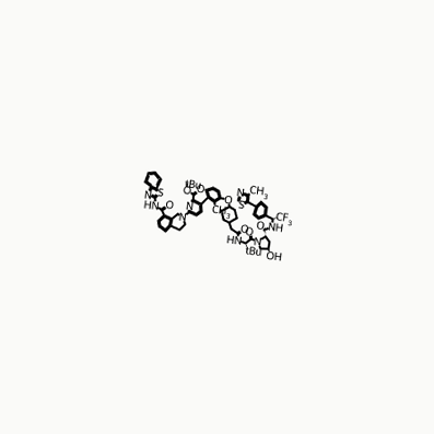 Cc1ncsc1-c1ccc([C@@H](NC(=O)[C@@H]2C[C@@H](O)CN2C(=O)[C@@H](NC(=O)CC2CCC(Oc3cccc(-c4ccc(N5CCc6cccc(C(=O)Nc7nc8ccccc8s7)c6C5)nc4C(=O)OC(C)(C)C)c3C)CC2)C(C)(C)C)C(F)(F)F)cc1